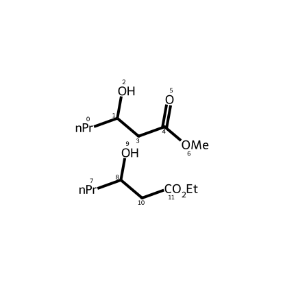 CCCC(O)CC(=O)OC.CCCC(O)CC(=O)OCC